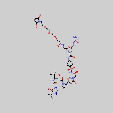 CC[C@H](C)[C@@H]([C@@H](CC(=O)N1CCC[C@H]1[C@H](OC)[C@@H](C)C(=O)N[C@@H](C)C(=O)NS(=O)(=O)c1ccc(NC(=O)[C@H](CCCNC(N)=O)NC(=O)CNC(=O)CCOCCOCCOCCN2C(=O)C=CC2=O)cc1)OC)N(C)C(=O)CNC(=O)[C@H](C(C)C)N(C)C